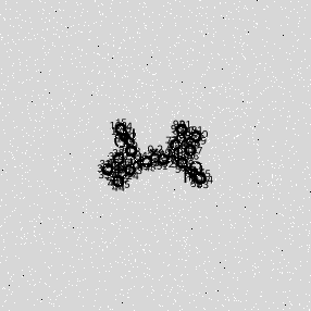 CC1(C)c2cc(N(c3ccc(-c4nc5ccccc5o4)cc3)c3ccc4c(c3)C(c3ccccc3)(c3ccccc3)c3ccccc3-4)ccc2-c2ccc(N(c3ccc(-c4nc5ccccc5o4)cc3)c3ccc4c(c3)C(c3ccccc3)(c3ccccc3)c3ccccc3-4)cc21